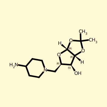 CC1(C)O[C@H]2O[C@H](CN3CCC(N)CC3)[C@H](O)[C@H]2O1